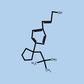 CC(=O)OC(C)(C)CC1(c2ccc(C=CCO)cc2)CCCC1